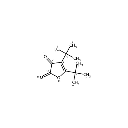 CC(C)(C)C1=C(C(C)(C)C)C(=O)C(=O)O1